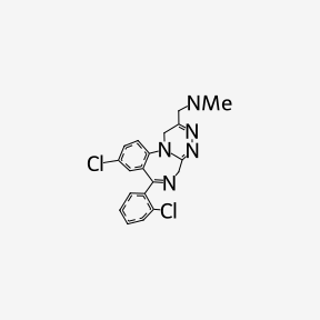 CNCC1=NN=C2CN=C(c3ccccc3Cl)c3cc(Cl)ccc3N2C1